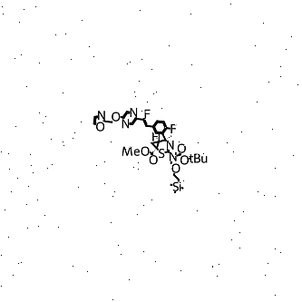 COC(=O)[C@]12C[C@H]1[C@@](C)(c1cc(/C=C(\F)c3cnc(OCc4ncco4)cn3)ccc1F)N=C(N(COCC[Si](C)(C)C)C(=O)OC(C)(C)C)S2